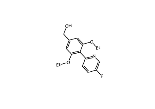 CCOc1cc(CO)cc(OCC)c1-c1ccc(F)cn1